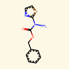 NN(C(=O)OCc1ccccc1)c1nccs1